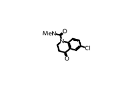 CNC(=O)N1CCC(=O)c2cc(Cl)ccc21